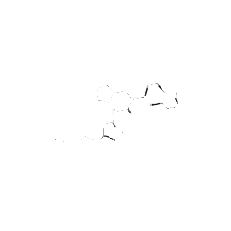 O=C(O)CSc1cnc(NC(=O)N(CC2CCCC2)c2ccc3ncsc3c2)s1